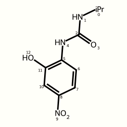 CC(C)NC(=O)Nc1ccc([N+](=O)[O-])cc1O